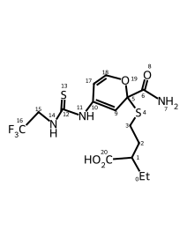 CCC(CCSC1(C(N)=O)C=C(NC(=S)NCC(F)(F)F)C=CO1)C(=O)O